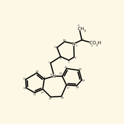 CC(C(=O)O)N1CCC(CN2c3ccccc3CCc3ccccc32)CC1